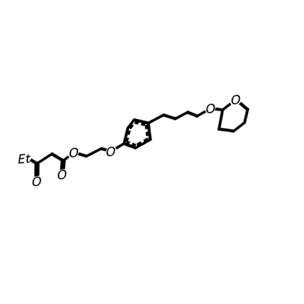 CCC(=O)CC(=O)OCCOc1ccc(CCCCOC2CCCCO2)cc1